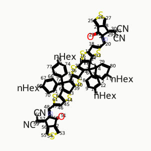 CCCCCCC1=CCC(C)(C2(c3ccc(CCCCCC)cc3)c3c(sc4cc(/C=C5\C(=O)c6cscc6C5=C(C#N)C#N)sc34)-c3sc4c5c(sc4c32)-c2sc3cc(/C=C4\C(=O)c6cscc6C4=C(C#N)C#N)sc3c2C5(c2ccc(CCCCCC)cc2)c2ccc(CCCCCC)cc2)C=C1